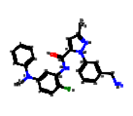 CCCN(c1ccccc1)c1ccc(F)c(NC(=O)c2cc(C(F)(F)F)nn2-c2cccc(CN)c2)c1